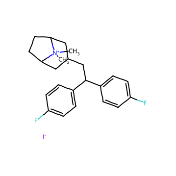 C[N+]1(C)C2CCC1CC(CC(c1ccc(F)cc1)c1ccc(F)cc1)C2.[I-]